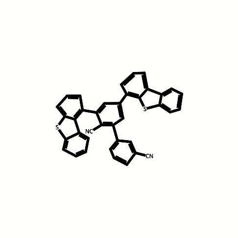 N#Cc1cccc(-c2cc(-c3cccc4c3sc3ccccc34)cc(-c3cccc4sc5ccccc5c34)c2C#N)c1